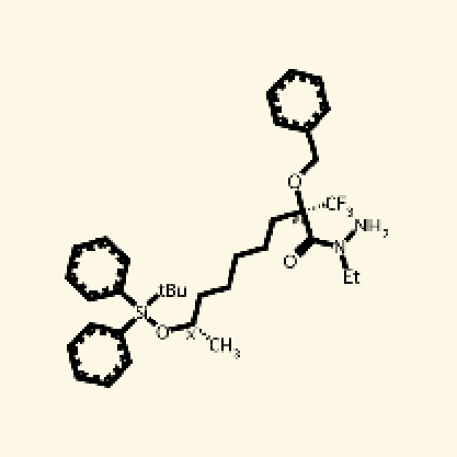 CCN(N)C(=O)[C@@](CCCCC[C@H](C)O[Si](c1ccccc1)(c1ccccc1)C(C)(C)C)(OCc1ccccc1)C(F)(F)F